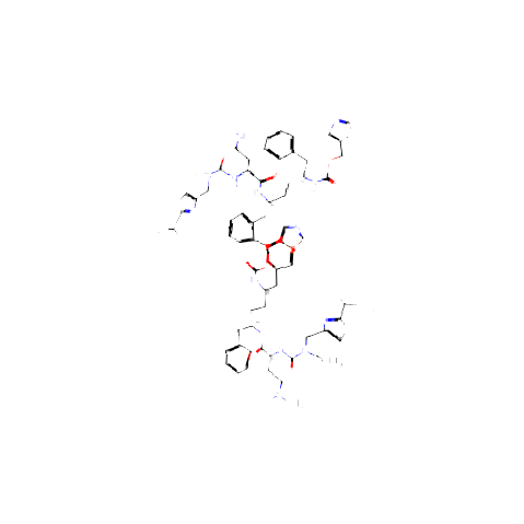 CC(C)c1nc(CN(C)C(=O)N[C@@H](CCN(C)C)C(=O)N[C@H](CC[C@H](Cc2cccc(-c3ccccc3C[C@@H](CC[C@H](Cc3ccccc3)NC(=O)OCc3cncs3)NC(=O)[C@H](CCN)NC(=O)N(C)Cc3csc(C(C)C)n3)c2)NC(=O)OCc2cncs2)Cc2ccccc2)cs1